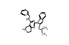 CN(C)Cc1cc2ccccc2n1-c1nc2c(c(NCc3ccccc3)n1)CNCC2